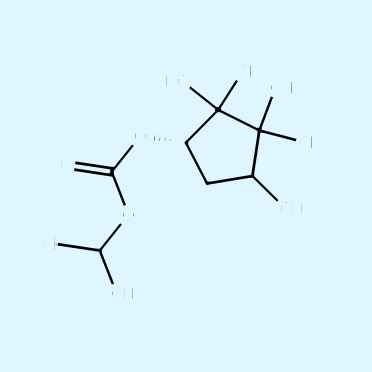 CC(Cl)OC(=O)O[C@H]1CC(C)C(C)(C)C1(C)C